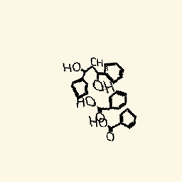 CC(C(O)c1ccccc1)C(O)c1ccccc1.O=C(O)c1ccccc1.O=C(O)c1ccccc1